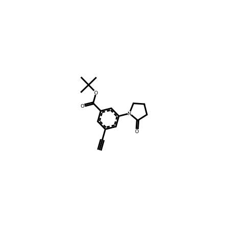 C#Cc1cc(C(=O)OC(C)(C)C)cc(N2CCCC2=O)c1